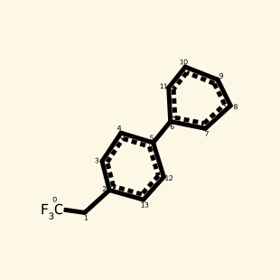 FC(F)(F)Cc1ccc(-c2ccccc2)cc1